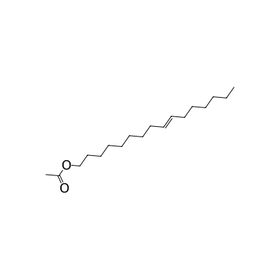 CCCCCCC=CCCCCCCCCOC(C)=O